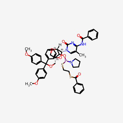 COc1ccc(C(OC[C@]23CO[C@@H](C2OP(SCCSC(=O)c2ccccc2)N2CCCC2)[C@H](n2cc(C)c(NC(=O)c4ccccc4)nc2=O)O3)(c2ccccc2)c2ccc(OC)cc2)cc1